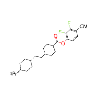 CCC[C@H]1CC[C@H](CCC2CCC(C(=O)Oc3ccc(C#N)c(F)c3F)CC2)CC1